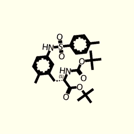 Cc1ccc(S(=O)(=O)Nc2ccc(C)c(C[C@H](NC(=O)OC(C)(C)C)C(=O)OC(C)(C)C)c2)cc1